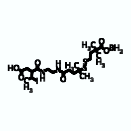 BOC(=O)C(C)(C)CCSSC(C)(C)CCC(=O)NCCNC(=O)C(CC(=O)O)C(C)I